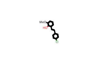 COc1cccc(/C=C/c2ccc(Cl)cc2)c1O